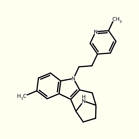 Cc1ccc2c(c1)c1c(n2CCc2ccc(C)nc2)CC2CCC1N2